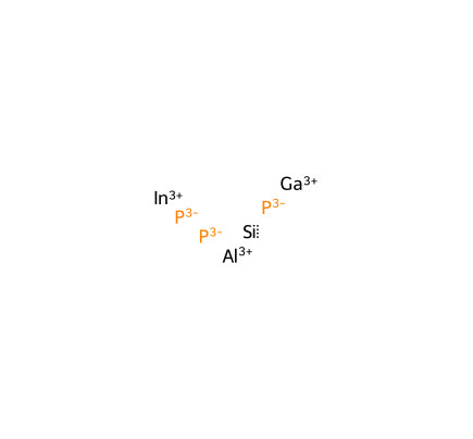 [Al+3].[Ga+3].[In+3].[P-3].[P-3].[P-3].[Si]